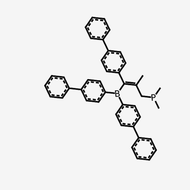 C/C(CP(C)C)=C(/B(c1ccc(-c2ccccc2)cc1)c1ccc(-c2ccccc2)cc1)c1ccc(-c2ccccc2)cc1